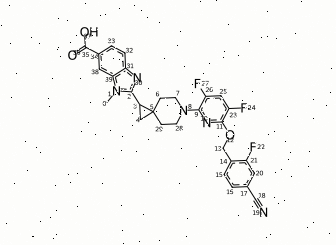 Cn1c(C2CC23CCN(c2nc(OCc4ccc(C#N)cc4F)c(F)cc2F)CC3)nc2ccc(C(=O)O)cc21